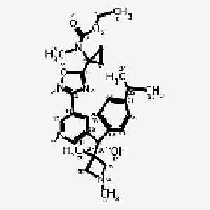 CCOC(=O)N(C)C1(c2nc(-c3cncc([C@@](O)(c4ccc(C(C)C)cc4)C4(C)CN(C)C4)c3)no2)CC1